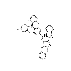 Cc1cc(C)c(B(c2ccc(-c3cc4c5cc6ccccc6cc5sc4c4nc5ccccc5n34)cc2)c2c(C)cc(C)cc2C)c(C)c1